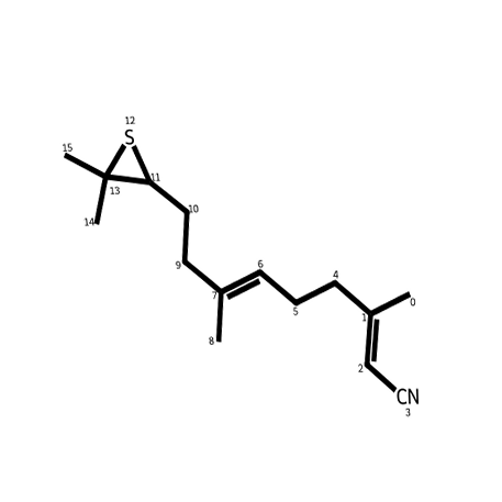 CC(=CC#N)CCC=C(C)CCC1SC1(C)C